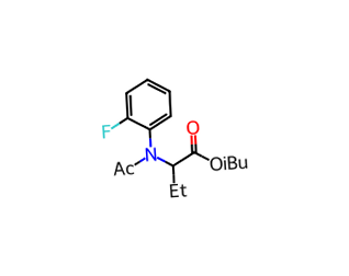 CCC(C(=O)OCC(C)C)N(C(C)=O)c1ccccc1F